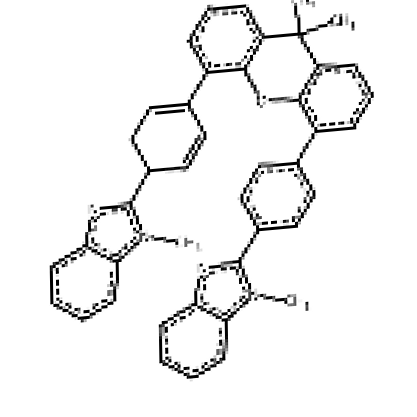 Cn1c(-c2ccc(-c3cccc4c3Oc3c(C5=CCC(c6nc7ccccc7n6C)C=C5)cccc3C4(C)C)cc2)nc2ccccc21